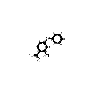 O=C(S)c1ccc(Oc2ccccc2)cc1Cl